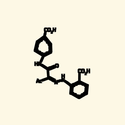 CC(=O)/C(=N/Nc1ccccc1C(=O)O)C(=O)Nc1ccc(C(=O)O)cc1